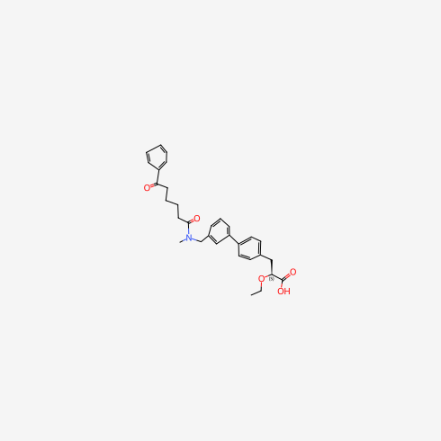 CCO[C@@H](Cc1ccc(-c2cccc(CN(C)C(=O)CCCCC(=O)c3ccccc3)c2)cc1)C(=O)O